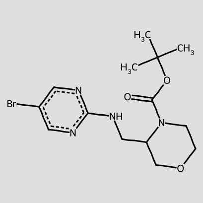 CC(C)(C)OC(=O)N1CCOCC1CNc1ncc(Br)cn1